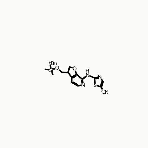 CC(C)(C)[Si](C)(C)OCC1COc2c1ccnc2Nc1ncc(C#N)s1